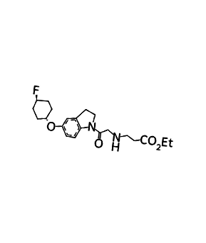 CCOC(=O)CCNCC(=O)N1CCc2cc(O[C@H]3CC[C@H](F)CC3)ccc21